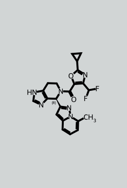 Cc1cccc2cc([C@H]3c4nc[nH]c4CCN3C(=O)c3oc(C4CC4)nc3C(F)F)nn12